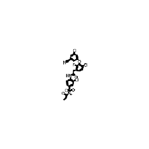 CCC(=O)N(C)S(=O)(=O)c1ccc(NC(=O)Cc2ccc(Cl)c(Oc3cc(Cl)cc(C#N)c3)c2F)c(Cl)c1